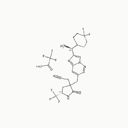 N#CCC1(Cc2cnn3cc([C@@H](N)C4CCC(F)(F)CC4)nc3c2)C[C@@H](C(F)(F)F)NC1=O.O=C(O)C(F)(F)F